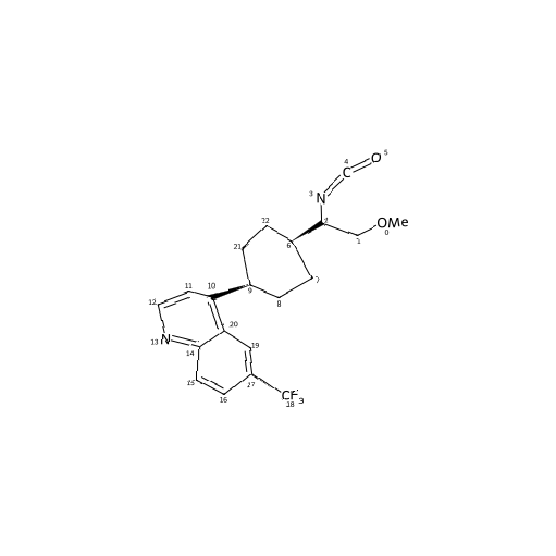 COCC(N=C=O)[C@H]1CC[C@@H](c2ccnc3ccc(C(F)(F)F)cc32)CC1